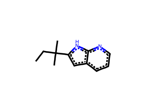 CCC(C)(C)c1cc2cccnc2[nH]1